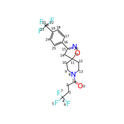 O=C(CCC(F)(F)F)N1CCC2(CC1)CC(c1ccc(C(F)(F)F)cc1)=NO2